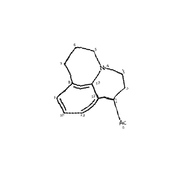 CC(=O)C1CCN2CCCc3cccc1c32